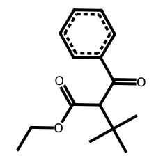 CCOC(=O)C(C(=O)c1ccccc1)C(C)(C)C